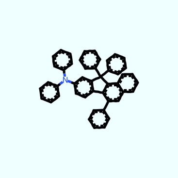 c1ccc(-c2cc3ccccc3c3c2-c2ccc(N(c4ccccc4)c4ccccc4)cc2C3(c2ccccc2)c2ccccc2)cc1